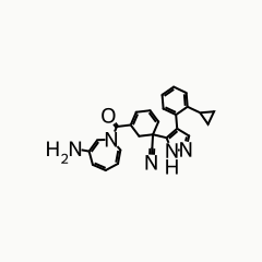 N#CC1(c2[nH]ncc2-c2ccccc2C2CC2)C=CC=C(C(=O)N2C=CC=CC(N)=C2)C1